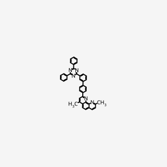 Cc1ccc2ccc3c(C)cc(-c4ccc(-c5cccc(-c6nc(-c7ccccc7)nc(-c7ccccc7)n6)c5)cc4)nc3c2n1